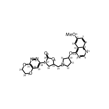 COc1ccc2ncnc(OC3CCN(CC4CN(c5cc6c(nn5)OCCO6)C(=O)O4)C3)c2c1